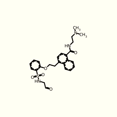 CN(C)CCNC(=O)c1ccc(CCOc2ccccc2S(=O)(=O)NCC=O)c2ccccc12